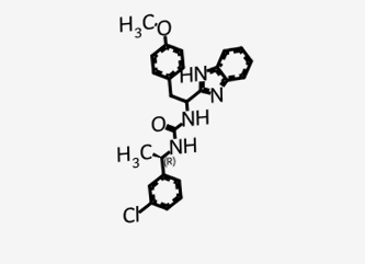 COc1ccc(CC(NC(=O)N[C@H](C)c2cccc(Cl)c2)c2nc3ccccc3[nH]2)cc1